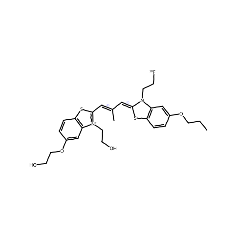 CCCOc1ccc2c(c1)N(CC[18F])/C(=C/C(C)=C/c1sc3ccc(OCCO)cc3[n+]1CCO)S2